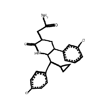 NC(=O)CC1CC(c2cccc(Cl)c2)C(C(c2ccc(Cl)cc2)C2CC2)NC1=O